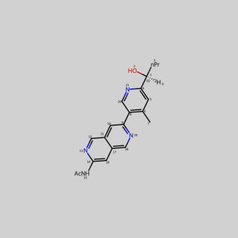 [2H][C@](O)(CCC)c1cc(C)c(-c2cc3cnc(NC(C)=O)cc3cn2)cn1